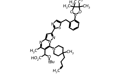 C=CCCC1(C)CCN(c2c(C(OC(C)(C)C)C(=O)O)c(C)nc3cc(-c4ncc(Cc5ccccc5B5OC(C)(C)C(C)(C)O5)s4)nn23)CC1